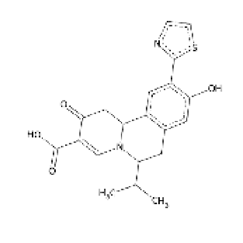 CC(C)C1Cc2cc(O)c(-c3nccs3)cc2C2CC(=O)C(C(=O)O)=CN21